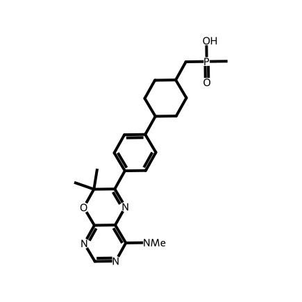 CNc1ncnc2c1N=C(c1ccc(C3CCC(CP(C)(=O)O)CC3)cc1)C(C)(C)O2